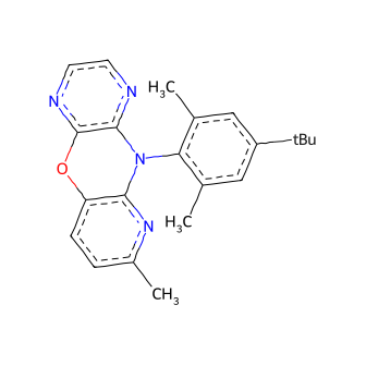 Cc1ccc2c(n1)N(c1c(C)cc(C(C)(C)C)cc1C)c1nccnc1O2